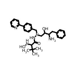 CC(C)(C)C(NO)C(=O)NN(Cc1ccc(-c2ccccn2)cc1)CC(O)C(N)Cc1ccccc1